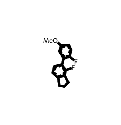 COc1ccc(F)c(-c2ccc3c(c2F)CCC3)c1